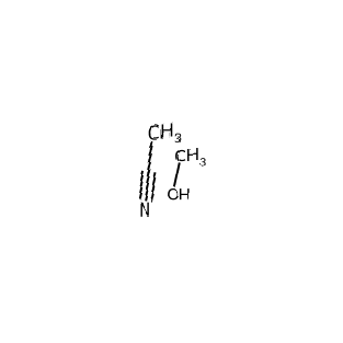 CC#N.CO